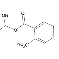 CC(O)OC(=O)c1ccccc1C(=O)O